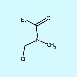 CCC(=O)N(C)CCl